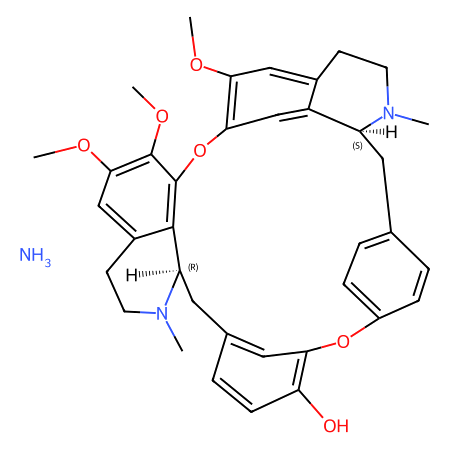 COc1cc2c3cc1Oc1c(OC)c(OC)cc4c1[C@@H](Cc1ccc(O)c(c1)Oc1ccc(cc1)C[C@@H]3N(C)CC2)N(C)CC4.N